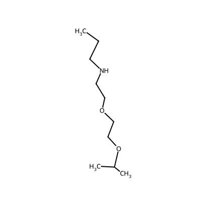 CCCNCCOCCOC(C)C